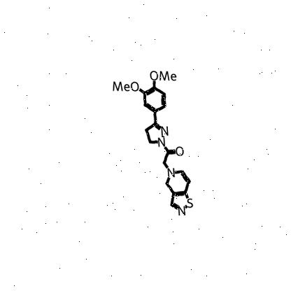 COc1ccc(C2=NN(C(=O)CN3C=Cc4sncc4C3)CC2)cc1OC